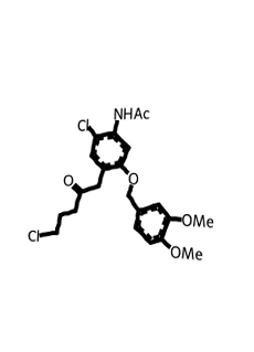 COc1ccc(COc2cc(NC(C)=O)c(Cl)cc2CC(=O)CCCCl)cc1OC